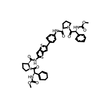 COC(=O)N[C@@H](C(=O)N1CCC[C@H]1C(=O)Nc1cc2sc(-c3ccc(NC(=O)[C@@H]4CCCN4C(=O)[C@H](NC(=O)OC)c4ccccc4)cc3)cc2s1)C1=CCCC=C1